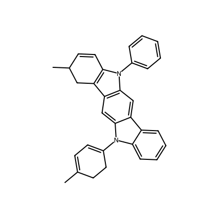 CC1=CC=C(n2c3ccccc3c3cc4c(cc32)c2c(n4-c3ccccc3)C=CC(C)C2)CC1